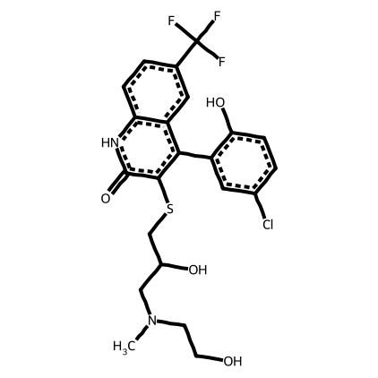 CN(CCO)CC(O)CSc1c(-c2cc(Cl)ccc2O)c2cc(C(F)(F)F)ccc2[nH]c1=O